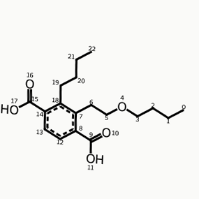 CCCCOCCc1c(C(=O)O)ccc(C(=O)O)c1CCCC